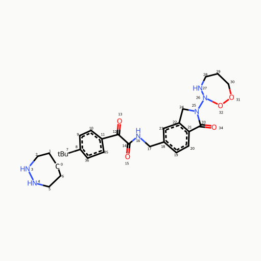 C1CCNNCC1.CC(C)(C)c1ccc(C(=O)C(=O)NCc2ccc3c(c2)CN(N2NCCCOO2)C3=O)cc1